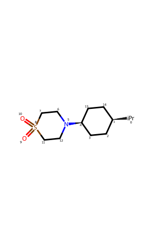 CC(C)[C@H]1CC[C@@H](N2CCS(=O)(=O)CC2)CC1